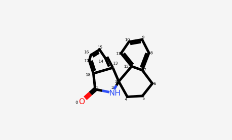 O=C1NC2(CCCc3ccccc32)c2ccccc21